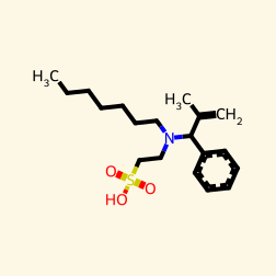 C=C(C)C(c1ccccc1)N(CCCCCCC)CCS(=O)(=O)O